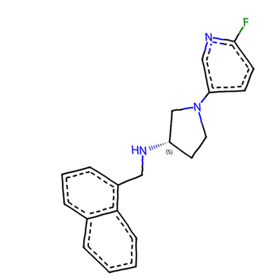 Fc1ccc(N2CC[C@H](NCc3cccc4ccccc34)C2)cn1